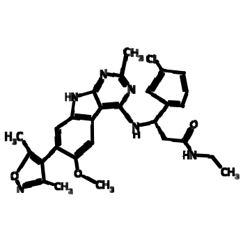 CCNC(=O)C[C@@H](Nc1nc(C)nc2[nH]c3cc(-c4c(C)noc4C)c(OC)cc3c12)c1cccc(Cl)c1